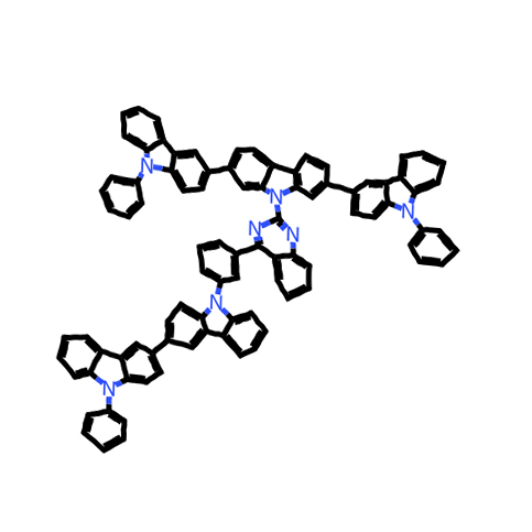 c1ccc(-n2c3ccccc3c3cc(-c4ccc5c(c4)c4ccccc4n5-c4cccc(-c5nc(-n6c7cc(-c8ccc9c(c8)c8ccccc8n9-c8ccccc8)ccc7c7ccc(-c8ccc9c(c8)c8ccccc8n9-c8ccccc8)cc76)nc6ccccc56)c4)ccc32)cc1